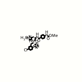 COC(=O)Nc1ccc(C(=O)N[C@@H](Cc2ccn(C)n2)C(=O)NCCc2cc(Cl)ccc2-n2cnnn2)cc1